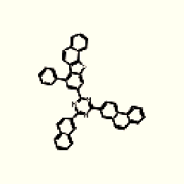 c1ccc(-c2cc(-c3nc(-c4ccc5ccccc5c4)nc(-c4ccc5c(ccc6ccccc65)c4)n3)cc3oc4c5ccccc5ccc4c23)cc1